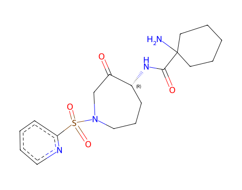 NC1(C(=O)N[C@@H]2CCCN(S(=O)(=O)c3ccccn3)CC2=O)CCCCC1